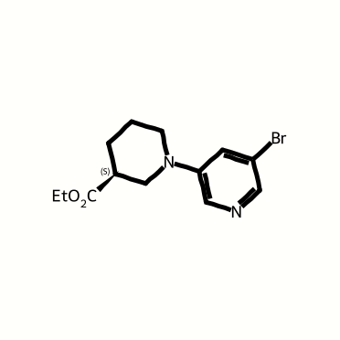 CCOC(=O)[C@H]1CCCN(c2cncc(Br)c2)C1